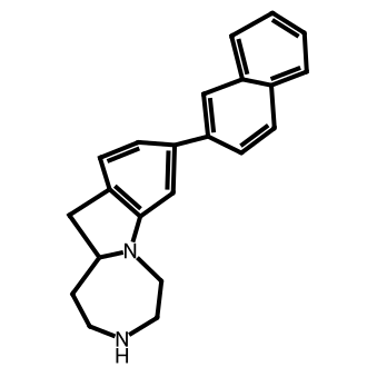 c1ccc2cc(-c3ccc4c(c3)N3CCNCCC3C4)ccc2c1